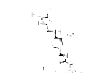 CCc1[nH]c(C(=O)N[C@@H]2CCN(c3nc(C(=O)NC)c(C(=O)O)s3)C[C@@H]2OC)nc1Cl